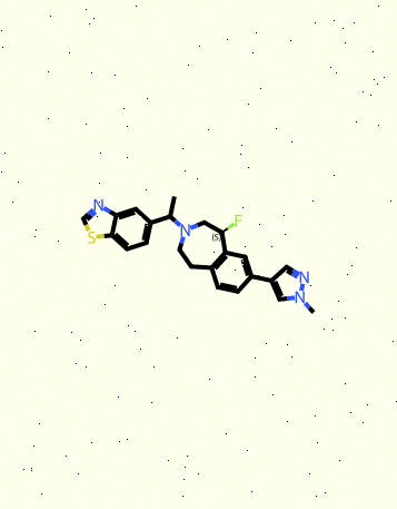 CC(c1ccc2scnc2c1)N1CCc2ccc(-c3cnn(C)c3)cc2[C@H](F)C1